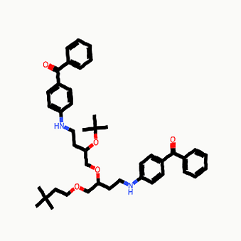 CC(C)(C)CCOCC(CCNc1ccc(C(=O)c2ccccc2)cc1)OCC(CCNc1ccc(C(=O)c2ccccc2)cc1)OC(C)(C)C